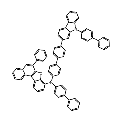 c1ccc(-c2ccc(N(c3ccc(-c4ccc(-c5ccc6c7ccccc7n(-c7ccc(-c8ccccc8)cc7)c6c5)cc4)cc3)c3cccc4c3oc3c(-c5ccccc5)cc5ccccc5c34)cc2)cc1